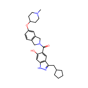 CN1CCC(Oc2ccc3c(c2)CN(C(=O)c2cc4c(CC5CCCC5)n[nH]c4cc2O)C3)CC1